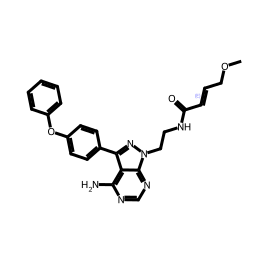 COC/C=C/C(=O)NCCn1nc(-c2ccc(Oc3ccccc3)cc2)c2c(N)ncnc21